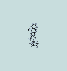 O=C(c1cc(C2CC2)c(OCC23CC4CC(CC(C4)C2)C3)cc1F)C1CCCCC1